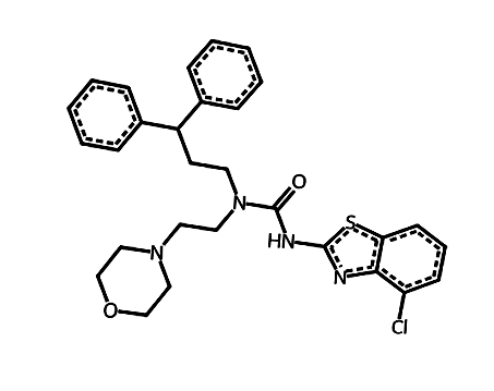 O=C(Nc1nc2c(Cl)cccc2s1)N(CCC(c1ccccc1)c1ccccc1)CCN1CCOCC1